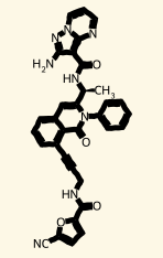 C[C@H](NC(=O)c1c(N)nn2cccnc12)c1cc2cccc(C#CCNC(=O)c3ccc(C#N)o3)c2c(=O)n1-c1ccccc1